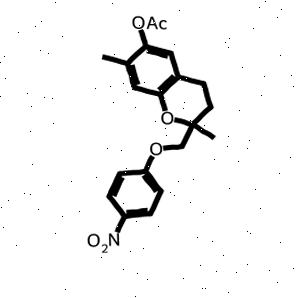 CC(=O)Oc1cc2c(cc1C)OC(C)(COc1ccc([N+](=O)[O-])cc1)CC2